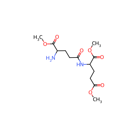 COC(=O)CCC(NC(=O)CCC(N)C(=O)OC)C(=O)OC